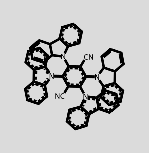 N#Cc1c(N2c3ccccc3C3C=CC=CC32)c(-n2c3ccccc3c3ccccc32)c(C#N)c(-n2c3ccccc3c3ccccc32)c1N1c2ccccc2C2C=CC=CC21